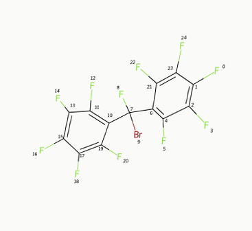 Fc1c(F)c(F)c(C(F)(Br)c2c(F)c(F)c(F)c(F)c2F)c(F)c1F